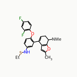 CCSNc1ccc(Oc2ccc(F)cc2F)c(C2=CCC(NC)c3oc(C)cc32)c1